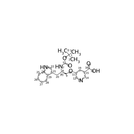 CC(C)(C)OC(=O)N[C@@H](COc1cncc(C(=O)O)c1)Cc1c[nH]c2ccccc12